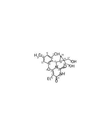 CCc1c(Oc2cc(C)cc(C)c2)n(CC2CC2(CO)CO)c(=O)[nH]c1=O